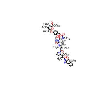 C#CCOc1cc(O[C@@H]2O[C@H](C(=O)OC)[C@@H](OC(C)=O)[C@H](OC(C)=O)[C@H]2OC(C)=O)ccc1COC(=O)N(C)[C@H](C(=O)N[C@H](C(=O)N(C)[C@@H](C(C)CC)[C@@H](CC(=O)N1CCC[C@H]1[C@H](OC)[C@@H](C)C(=O)NC(Cc1ccccc1)C(=O)NC)OC)C(C)C)C(C)C